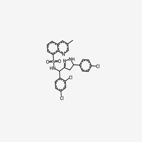 Cc1cnc2c(S(=O)(=O)NC(C3=NNC(c4ccc(Cl)cc4)C3)c3ccc(Cl)cc3Cl)cccc2c1